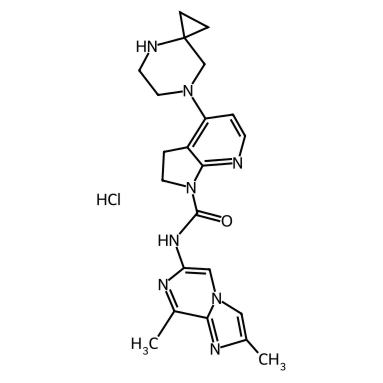 Cc1cn2cc(NC(=O)N3CCc4c(N5CCNC6(CC6)C5)ccnc43)nc(C)c2n1.Cl